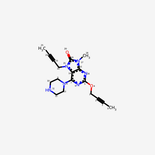 CC#CCOc1nc(N2CCNCC2)c2c(n1)n(C)c(=O)n2CC#CC